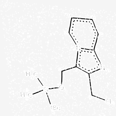 CC(C)(C)[Si](C)(C)OCc1c(CCl)nc2ccccn12